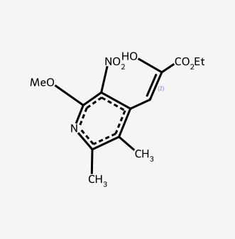 CCOC(=O)/C(O)=C/c1c(C)c(C)nc(OC)c1[N+](=O)[O-]